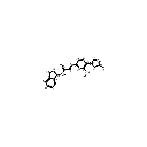 COc1nc(/C=C/C(=O)NC2CCc3ccccc32)ccc1-n1cnc(C)c1